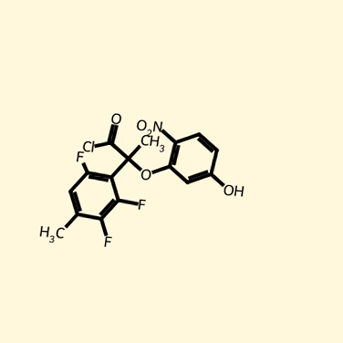 Cc1cc(F)c(C(C)(Oc2cc(O)ccc2[N+](=O)[O-])C(=O)Cl)c(F)c1F